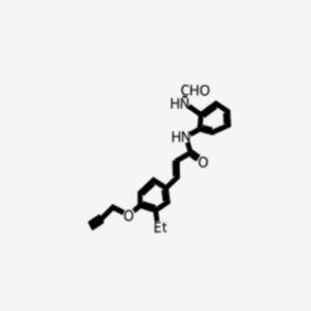 C#CCOc1ccc(/C=C/C(=O)Nc2ccccc2NC=O)cc1CC